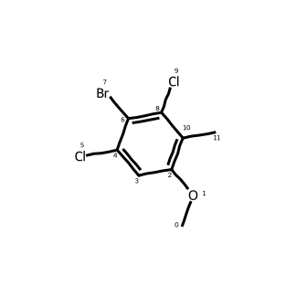 COc1cc(Cl)c(Br)c(Cl)c1C